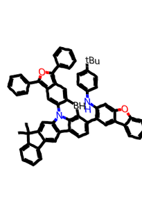 CC(C)(C)c1ccc(Nc2cc3oc4ccccc4c3cc2-c2ccc3c4cc5c(cc4n4c3c2Bc2cc3c(-c6ccccc6)oc(-c6ccccc6)c3cc2-4)C(C)(C)c2ccccc2-5)cc1